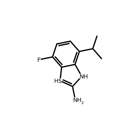 CC(C)c1ccc(F)c2c1NC(N)=[SH]2